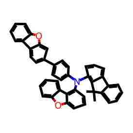 CC1(C)c2ccccc2-c2cccc(N(c3ccc(-c4ccc5c(c4)oc4ccccc45)cc3)c3cccc4oc5ccccc5c34)c21